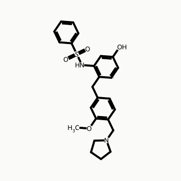 COc1cc(Cc2[c]cc(O)cc2NS(=O)(=O)c2ccccc2)ccc1CN1CCCC1